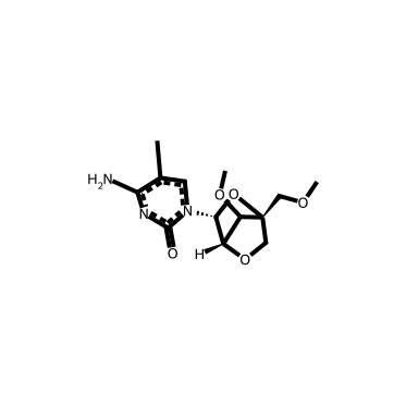 COC[C@@]12CO[C@@H](C1OC)[C@H](n1cc(C)c(N)nc1=O)O2